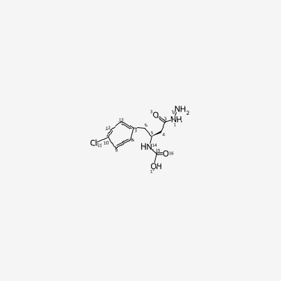 NNC(=O)C[C@H](Cc1ccc(Cl)cc1)NC(=O)O